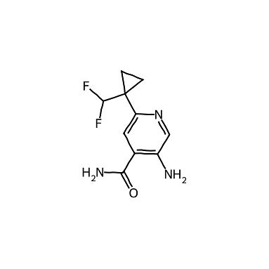 NC(=O)c1cc(C2(C(F)F)CC2)ncc1N